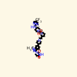 Cn1nc(N2CCC(=O)NC2=O)c2ccc(C3CCN(CCC4CCCN(S(=O)(=O)N5CCC(Nc6ncc(C(F)(F)F)cn6)CC5)C4)CC3)cc21